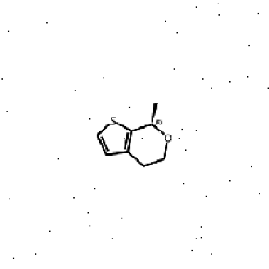 C[C@H]1OCCc2ccsc21